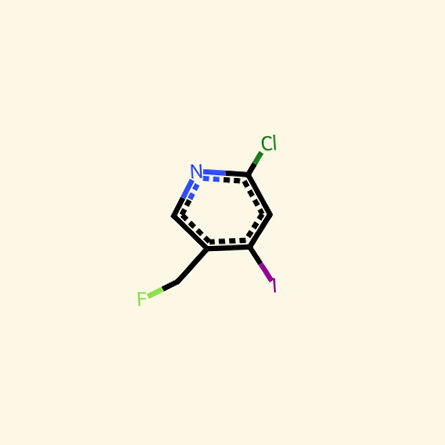 FCc1cnc(Cl)cc1I